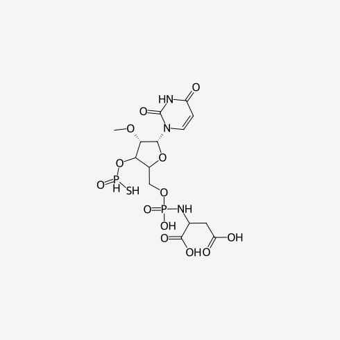 CO[C@H]1C(O[PH](=O)S)C(COP(=O)(O)NC(CC(=O)O)C(=O)O)O[C@H]1n1ccc(=O)[nH]c1=O